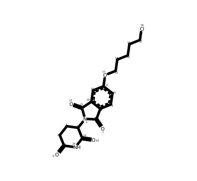 O=C1CCC(N2C(=O)c3ccc(OCCCCCCl)cc3C2=O)C(=O)N1